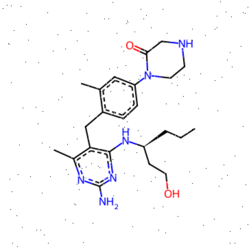 CCC[C@@H](CCO)Nc1nc(N)nc(C)c1Cc1ccc(N2CCNCC2=O)cc1C